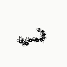 CN(Cc1ccc(-n2cc(NC(=O)c3cnn4ccc(N5CCOCC5)nc34)c(C(F)F)n2)cc1)[C@H]1CC[C@H](Nc2cccc3c2C(=O)N(C2CCC(=O)NC2=O)C3=O)CC1